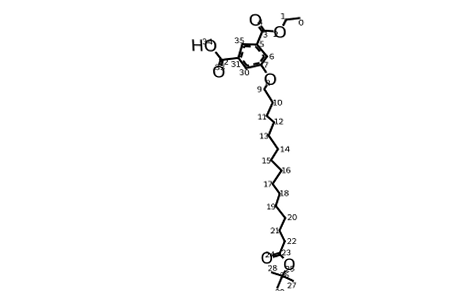 CCOC(=O)c1cc(OCCCCCCCCCCCCCCC(=O)OC(C)(C)C)cc(C(=O)O)c1